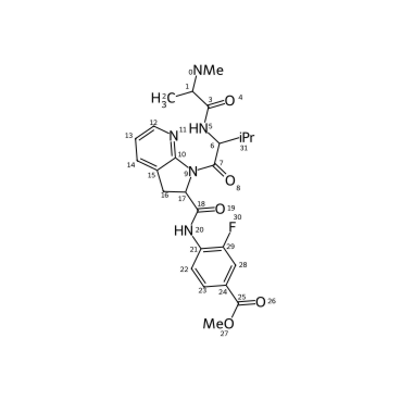 CNC(C)C(=O)NC(C(=O)N1c2ncccc2CC1C(=O)Nc1ccc(C(=O)OC)cc1F)C(C)C